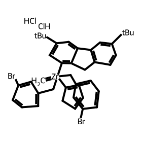 Cl.Cl.[CH2]=[Zr]([CH2]c1cccc(Br)c1)([CH2]c1cccc(Br)c1)([C]1=CC=CC1)[c]1cc(C(C)(C)C)cc2c1Cc1ccc(C(C)(C)C)cc1-2